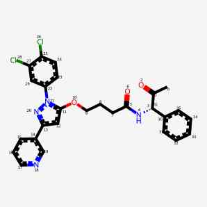 CC(=O)[C@@H](NC(=O)CCCOc1cc(-c2cccnc2)nn1-c1ccc(Cl)c(Cl)c1)c1ccccc1